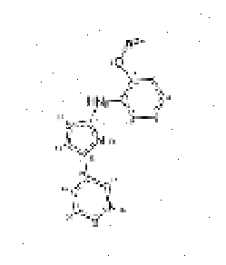 CCCOc1ccccc1Nc1nc(-c2cccnc2)cs1